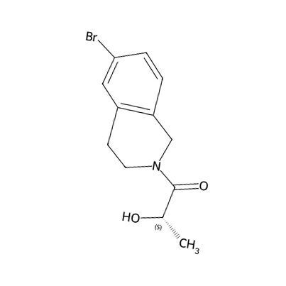 C[C@H](O)C(=O)N1CCc2cc(Br)ccc2C1